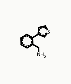 NCc1ccccc1-c1ccsc1